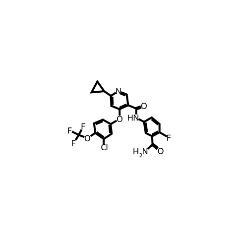 NC(=O)c1cc(NC(=O)c2cnc(C3CC3)cc2Oc2ccc(OC(F)(F)F)c(Cl)c2)ccc1F